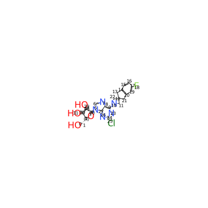 OC[C@H]1O[C@@H](n2cnc3c(N4CC5(Cc6ccc(F)cc6C5)C4)nc(Cl)nc32)[C@H](O)[C@@H]1O